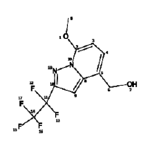 COc1ccc(CO)c2cc(C(F)(F)C(F)(F)F)nn12